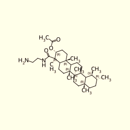 CC(=O)O[C@@H]1CC[C@@]2(C)C(CC[C@]3(C)C2CC=C2C4[C@@H](C)[C@H](C)CC[C@]4(C)CC[C@]23C)[C@@]1(C)C(=O)NCCN